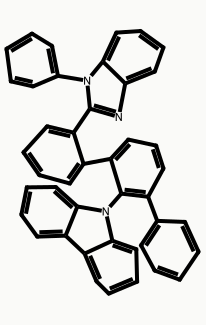 c1ccc(-c2cccc(-c3ccccc3-c3nc4ccccc4n3-c3ccccc3)c2-n2c3ccccc3c3ccccc32)cc1